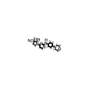 CC[C@@]1(C#N)CCN(c2ccnc(Nc3ccc(N4CCOCC4)cc3)n2)C1=O